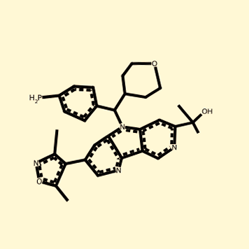 Cc1noc(C)c1-c1cnc2c3cnc(C(C)(C)O)cc3n(C(c3ccc(P)cc3)C3CCOCC3)c2c1